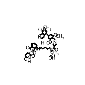 COc1cc(-c2cn(C)c(=O)c3cnccc23)cc(OC)c1CN1CC(C(=O)N(C)CCCCCNc2cccc3c2C(=O)N(C2CCC(=O)NC2=O)C3=O)C1.O=CO